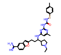 CCN1CCC(C(CCc2cc3cc(C(=N)N)ccc3o2)Nc2cc(C)nc(NC(=O)NSc3ccc(C)cc3)n2)C1